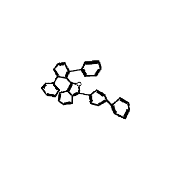 c1ccc(-c2ccc(-c3oc(-c4c(-c5ccccc5)cccc4-c4ccccc4)c4ccccc34)cc2)cc1